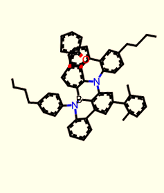 CCCCc1ccc(N2B3c4ccc5c(oc6ccccc65)c4N(c4ccc(CCCC)cc4-c4ccccc4)c4cc(-c5c(C)cccc5C)cc(c43)-c3ccccc32)cc1